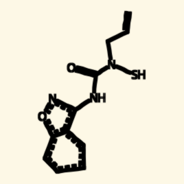 C=CCN(S)C(=O)Nc1noc2ccccc12